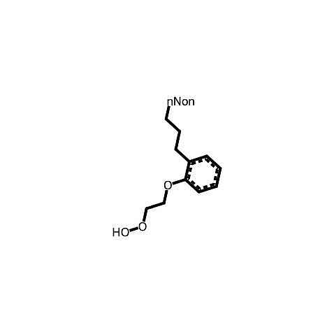 CCCCCCCCCCCCc1ccccc1OCCOO